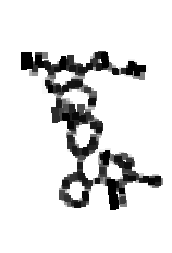 CCCCc1nc(C)nc(OCC(C)=O)c1Cc1ccc(-c2ccccc2-c2noc(=O)[nH]2)cc1